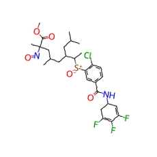 COC(=O)C(C)(CC(C)CC(CC(C)C)C(C)[S+]([O-])c1cc(C(=O)NC2C=C(F)C(F)=C(F)C2)ccc1Cl)N=O